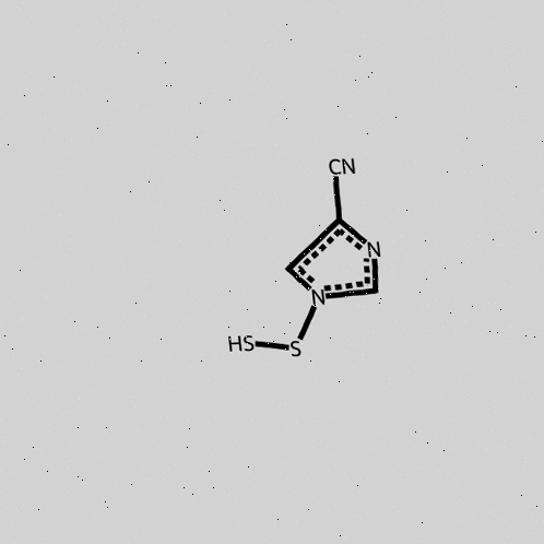 N#Cc1cn(SS)cn1